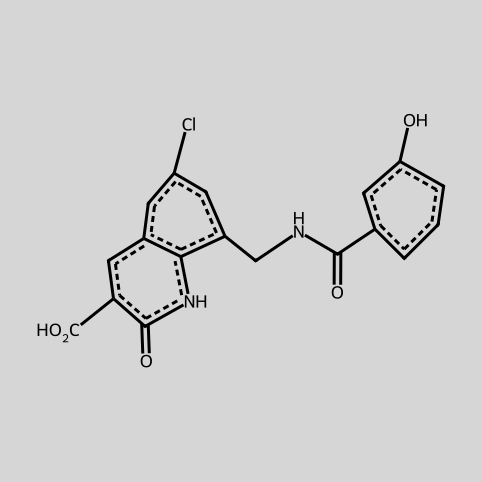 O=C(NCc1cc(Cl)cc2cc(C(=O)O)c(=O)[nH]c12)c1cccc(O)c1